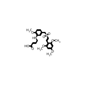 COc1cc(OC)c(/C=C/S(=O)(=O)Cc2ccc(OC)c(NC/C=C/C(=O)O)c2)c(OC)c1